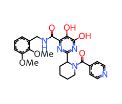 COc1cccc(CNC(=O)c2nc(C3CCCCN3C(=O)c3ccncc3)nc(O)c2O)c1OC